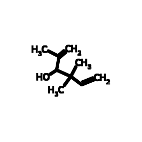 C=CC(C)(C)C(O)C(=C)C